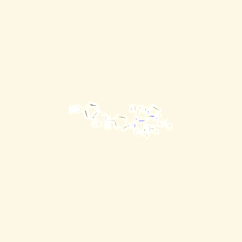 C/C(=N\N(C)c1ccc(NCc2ccc(O)cc2O)cc1)c1n(C)cc[n+]1C